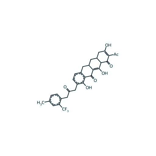 CC(=O)C1=C(O)CC2CC3Cc4ccc(CC(=O)Cc5ccc(C)cc5C(F)(F)F)c(O)c4C(=O)C3=C(O)C2C1=O